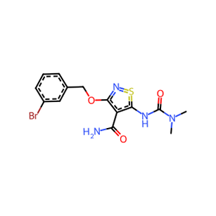 CN(C)C(=O)Nc1snc(OCc2cccc(Br)c2)c1C(N)=O